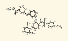 Cc1ccc(S(=O)(=O)N2CC(c3cncc(O[C@@H]4CCCN(C(=O)OC(C)(C)C)C4)n3)c3cc(-c4c(F)cccc4F)ccc32)cc1